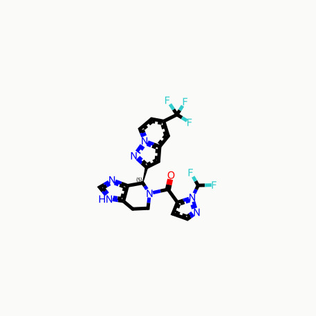 O=C(c1ccnn1C(F)F)N1CCc2[nH]cnc2[C@H]1c1cc2cc(C(F)(F)F)ccn2n1